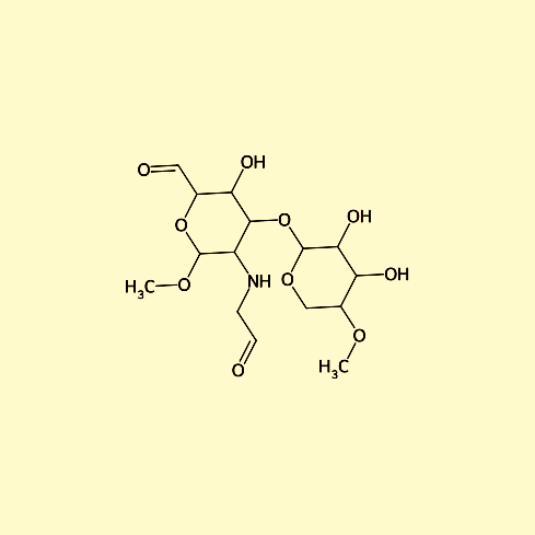 COC1COC(OC2C(O)C(C=O)OC(OC)C2NCC=O)C(O)C1O